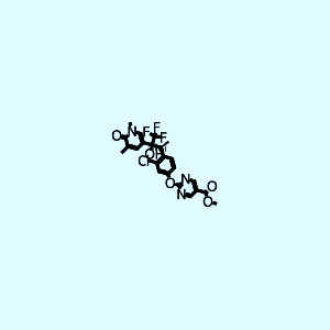 COC(=O)c1cnc(Oc2ccc([C@H](C)[C@](O)(c3cc(C)c(=O)n(C)c3)C(F)(F)F)c(Cl)c2)nc1